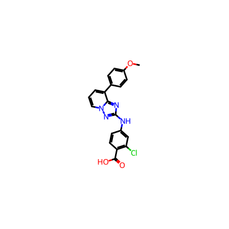 COc1ccc(-c2cccn3nc(Nc4ccc(C(=O)O)c(Cl)c4)nc23)cc1